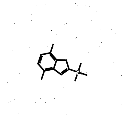 Cc1ccc(C)c2c1[CH]C([Si](C)(C)C)=C2